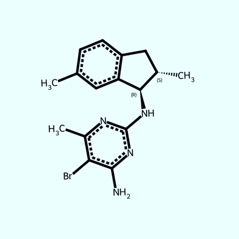 Cc1ccc2c(c1)[C@H](Nc1nc(C)c(Br)c(N)n1)[C@@H](C)C2